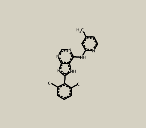 Cc1ccnc(Nc2ncnc3nc(-c4c(Cl)cccc4Cl)[nH]c23)c1